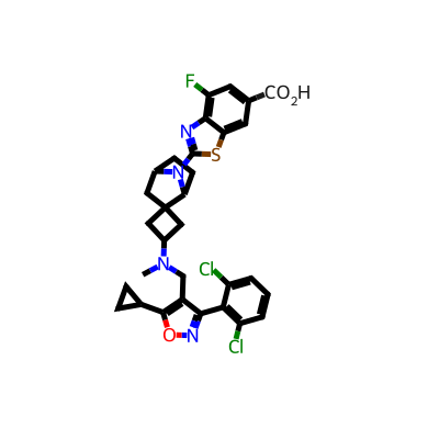 CN(Cc1c(-c2c(Cl)cccc2Cl)noc1C1CC1)C1CC2(C1)CC1CCC2N1c1nc2c(F)cc(C(=O)O)cc2s1